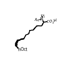 CCCCCCCC/C=C\CCCCCCCC(C(=O)O)N(CC)C(C)=O